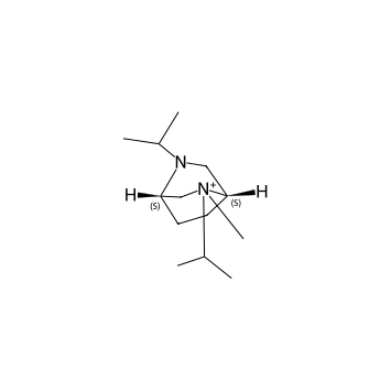 CC(C)N1C[C@@H]2CC[C@H]1C[N+]2(C)C(C)C